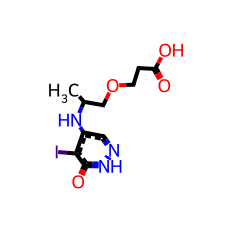 CC(COCCC(=O)O)Nc1cn[nH]c(=O)c1I